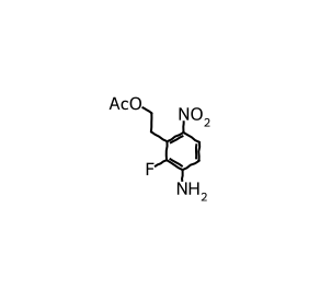 CC(=O)OCCc1c([N+](=O)[O-])ccc(N)c1F